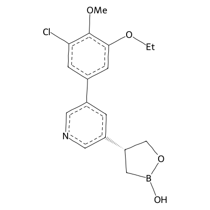 CCOc1cc(-c2cncc([C@@H]3COB(O)C3)c2)cc(Cl)c1OC